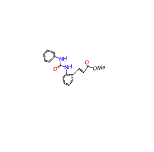 COC(=O)/C=C/c1ccccc1NC(=O)Nc1ccccc1